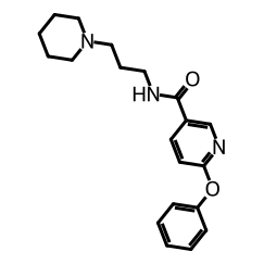 O=C(NCCCN1CCCCC1)c1ccc(Oc2ccccc2)nc1